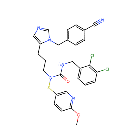 COc1ccc(SN(CCCc2cncn2Cc2ccc(C#N)cc2)C(=O)NCc2cccc(Cl)c2Cl)cn1